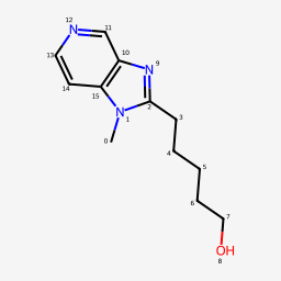 Cn1c(CCCCCO)nc2cnccc21